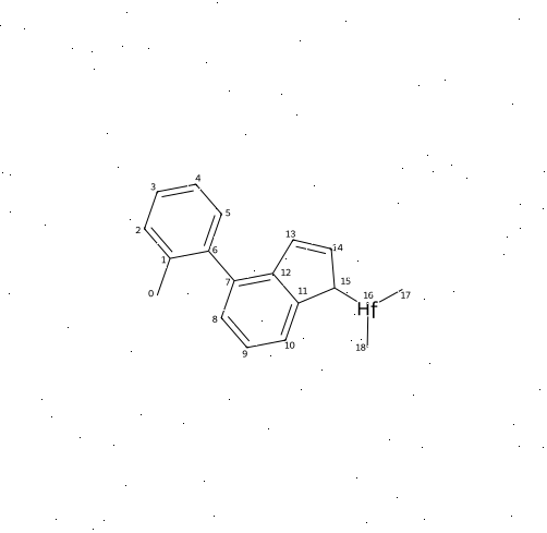 Cc1ccccc1-c1cccc2c1C=C[CH]2[Hf]([CH3])[CH3]